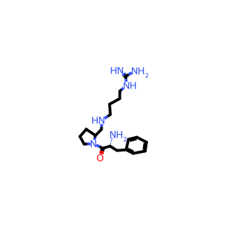 N=C(N)NCCCCNCC1CCCN1C(=O)[C@H](N)Cc1ccccc1